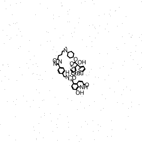 CN(CCCc1nc(-c2ccc(CNC[C@H](O[Si](C)(C)C(C)(C)C)c3ccc(O)c4[nH]c(=O)ccc34)cc2)no1)[C@H]1CC[C@H](OC(=O)C(O)(c2cccs2)c2cccs2)CC1